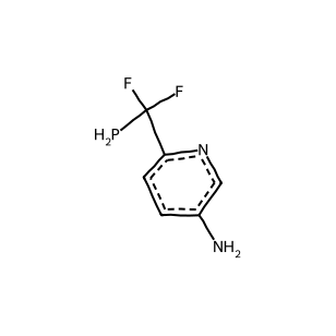 Nc1ccc(C(F)(F)P)nc1